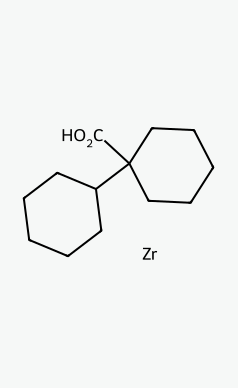 O=C(O)C1(C2CCCCC2)CCCCC1.[Zr]